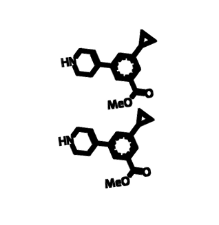 COC(=O)c1cc(C2=CCNCC2)cc(C2CC2)c1.COC(=O)c1cc(C2=CCNCC2)cc(C2CC2)c1